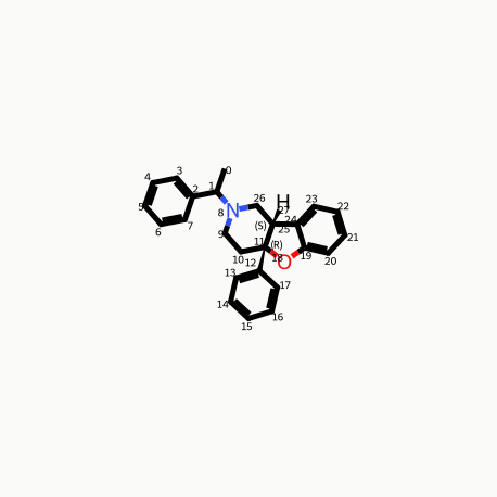 CC(c1ccccc1)N1CC[C@@]2(c3ccccc3)Oc3ccccc3[C@H]2C1